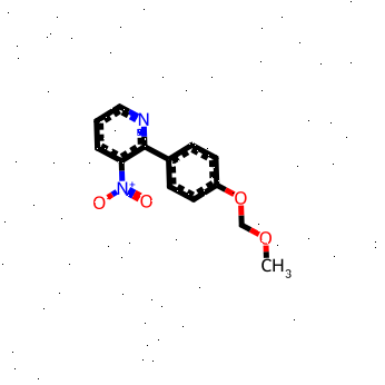 COCOc1ccc(-c2ncccc2[N+](=O)[O-])cc1